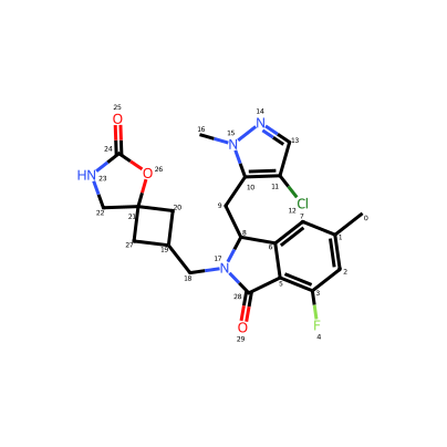 Cc1cc(F)c2c(c1)C(Cc1c(Cl)cnn1C)N(CC1CC3(CNC(=O)O3)C1)C2=O